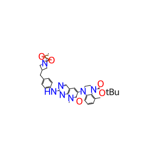 Cc1cccc2c1N(C(=O)OC(C)(C)C)CCN2c1cc2cnc(Nc3ccc(CC4CN(S(C)(=O)=O)C4)cc3)nc2n(C)c1=O